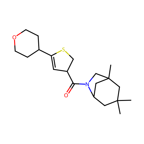 CC1(C)CC2CC(C)(CN2C(=O)C2C=C(C3CCOCC3)SC2)C1